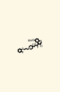 COc1ccc2ncc(Cl)c([C@@H](F)CCC3(C(=O)O)CCN(CCCSc4ccccc4F)CC3)c2c1